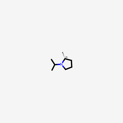 CC(C)N1CCC[C@H]1C